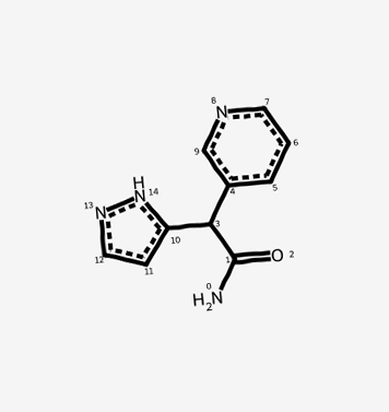 NC(=O)C(c1cccnc1)c1ccn[nH]1